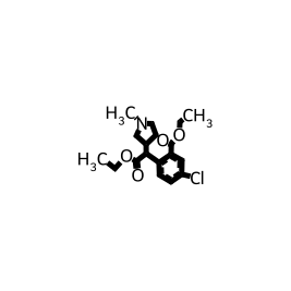 CCOC(=O)c1cc(Cl)ccc1C(C(=O)OCC)C1CCN(C)C1